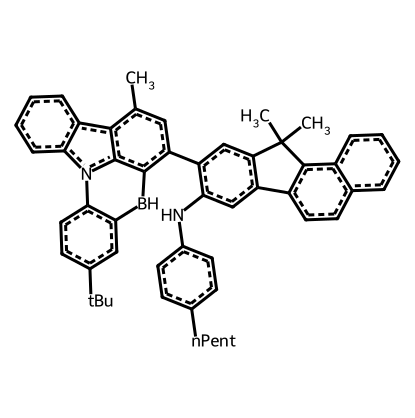 CCCCCc1ccc(Nc2cc3c(cc2-c2cc(C)c4c5ccccc5n5c4c2Bc2cc(C(C)(C)C)ccc2-5)C(C)(C)c2c-3ccc3ccccc23)cc1